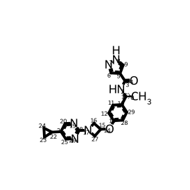 C[C@H](NC(=O)c1cn[nH]c1)c1ccc(OC2CN(c3ncc(C4CC4)cn3)C2)cc1